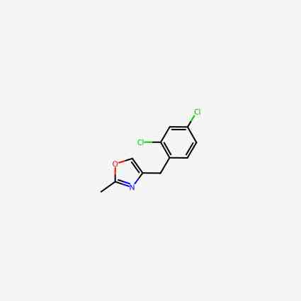 Cc1nc(Cc2ccc(Cl)cc2Cl)co1